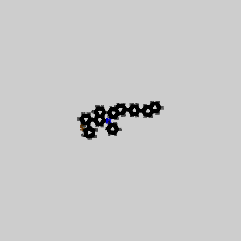 c1ccc(N(c2ccc3ccc(-c4ccc(-c5ccc6ccccc6c5)cc4)cc3c2)c2ccc(-c3cccc4sc5ccccc5c34)c3ccccc23)cc1